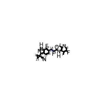 Cc1ncc(F)c(C)c1NC(=O)/C(F)=C/c1ccc2c(C3(C#N)CC3)n[nH]c2c1F